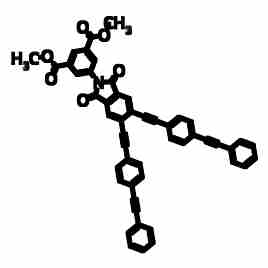 COC(=O)c1cc(C(=O)OC)cc(N2C(=O)c3cc(C#Cc4ccc(C#Cc5ccccc5)cc4)c(C#Cc4ccc(C#Cc5ccccc5)cc4)cc3C2=O)c1